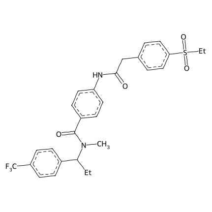 CCC(c1ccc(C(F)(F)F)cc1)N(C)C(=O)c1ccc(NC(=O)Cc2ccc(S(=O)(=O)CC)cc2)cc1